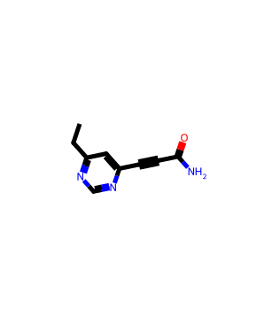 CCc1cc(C#CC(N)=O)ncn1